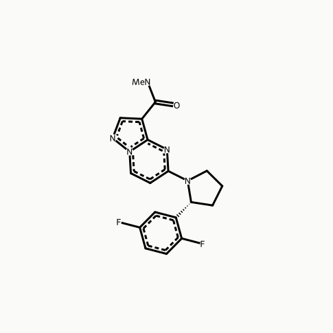 CNC(=O)c1cnn2ccc(N3CCC[C@@H]3c3cc(F)ccc3F)nc12